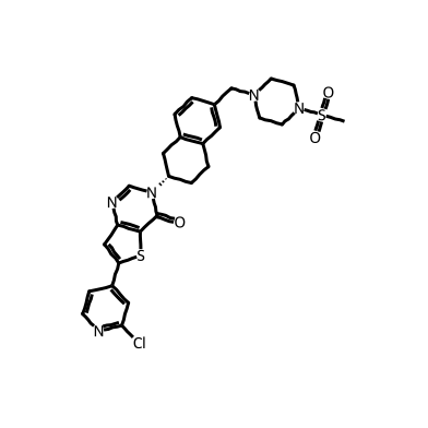 CS(=O)(=O)N1CCN(Cc2ccc3c(c2)CC[C@H](n2cnc4cc(-c5ccnc(Cl)c5)sc4c2=O)C3)CC1